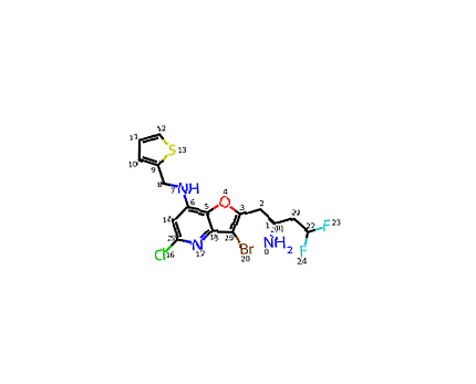 N[C@H](Cc1oc2c(NCc3cccs3)cc(Cl)nc2c1Br)CC(F)F